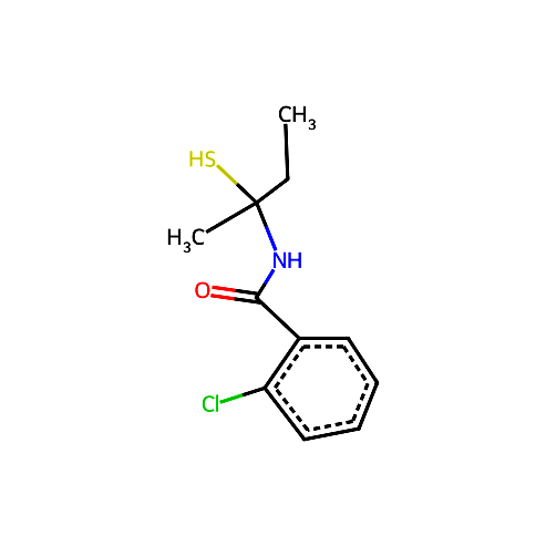 CCC(C)(S)NC(=O)c1ccccc1Cl